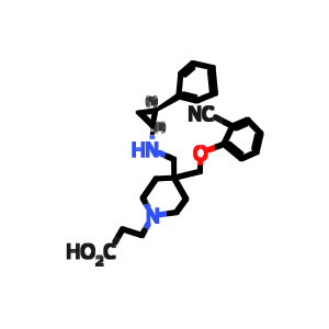 N#Cc1ccccc1OCC1(CN[C@@H]2C[C@H]2c2ccccc2)CCN(CCC(=O)O)CC1